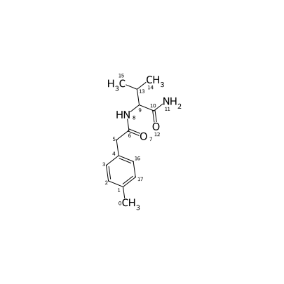 Cc1ccc(CC(=O)NC(C(N)=O)C(C)C)cc1